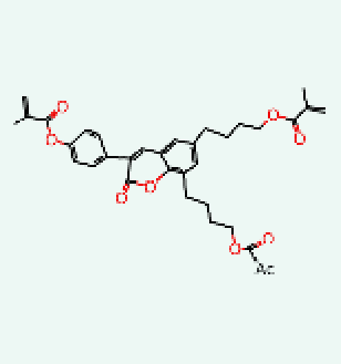 C=C(C)C(=O)OCCCCc1cc(CCCCOC(=O)C(C)=O)c2oc(=O)c(-c3ccc(OC(=O)C(=C)C)cc3)cc2c1